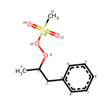 C[C](Cc1ccccc1)OOS(C)(=O)=O